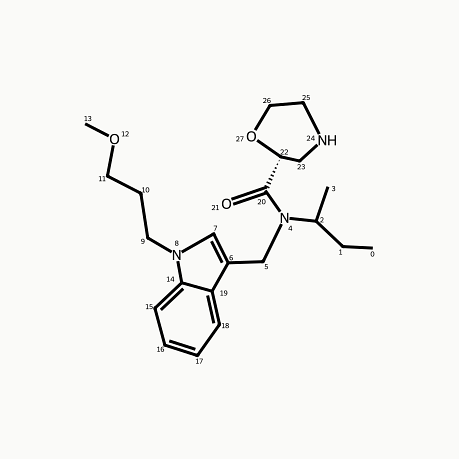 CCC(C)N(Cc1cn(CCCOC)c2ccccc12)C(=O)[C@H]1CNCCO1